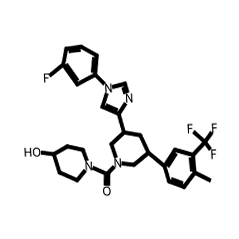 Cc1ccc(C2CC(c3cn(-c4cccc(F)c4)cn3)CN(C(=O)N3CCC(O)CC3)C2)cc1C(F)(F)F